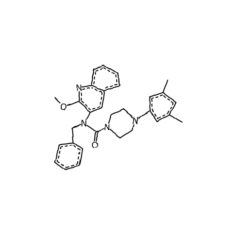 COc1nc2ccccc2cc1N(Cc1ccccc1)C(=O)N1CCN(c2cc(C)cc(C)c2)CC1